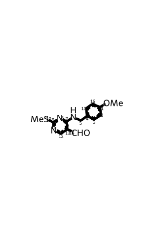 COc1ccc(CNc2nc(SC)ncc2C=O)cc1